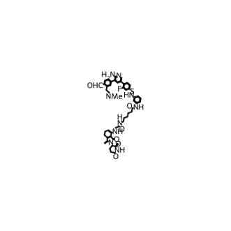 C=C1C2=C(C(=O)N1C1CCC(=O)NC1=O)C(NCC(=O)NCCCCCC(=O)Nc1cccc(NSc3ccc(-c4cnc(N)c(-c5ccc(C=O)c(CCNC)c5)c4)c(F)c3)c1)=CCC2